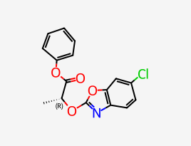 C[C@@H](Oc1nc2ccc(Cl)cc2o1)C(=O)Oc1ccccc1